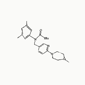 Cc1cc(C)cc(N(Cc2ccc(N3CCN(C)CC3)nc2)C(=O)C(C)(C)C)c1